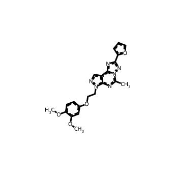 COc1ccc(OCCn2ncc3c2nc(C)n2nc(-c4ccco4)nc32)cc1OC